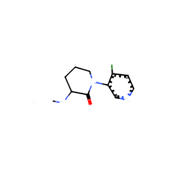 O=C(O)NC1CCCN(c2cnccc2Cl)C1=O